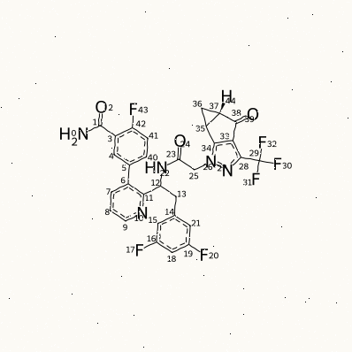 NC(=O)c1cc(-c2cccnc2C(Cc2cc(F)cc(F)c2)NC(=O)Cn2nc(C(F)(F)F)c3c2C2C[C@@H]2C3=O)ccc1F